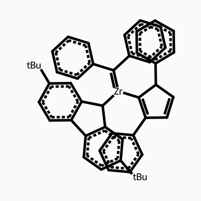 CC(C)(C)c1ccc2c(c1)[CH]([Zr]([C]1=C(c3ccccc3)C=CC1c1ccccc1)=[C](c1ccccc1)c1ccccc1)c1cc(C(C)(C)C)ccc1-2